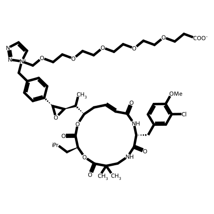 COc1ccc(C[C@H]2NC(=O)/C=C/C[C@@H](C(C)[C@H]3O[C@@H]3c3ccc(C[N+]4(COCCOCCOCCOCCOCCC(=O)[O-])C=CN=N4)cc3)OC(=O)[C@H](CC(C)C)OC(=O)C(C)(C)CNC2=O)cc1Cl